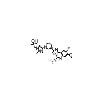 COc1cc2nc(N)n3nc([C@@H]4CCCN(c5nc(C)n(CC(C)(C)O)n5)C4)nc3c2cc1F